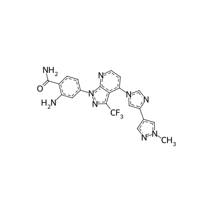 Cn1cc(-c2cn(-c3ccnc4c3c(C(F)(F)F)nn4-c3ccc(C(N)=O)c(N)c3)cn2)cn1